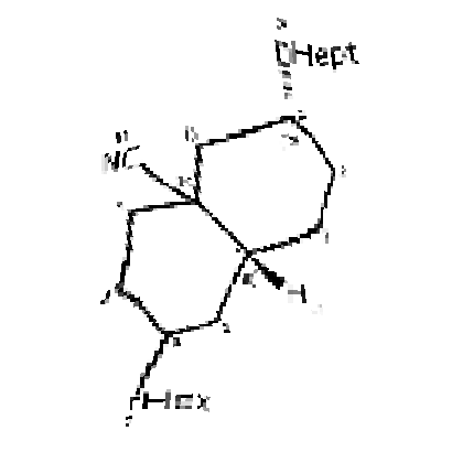 CCCCCCC[C@@H]1CC[C@@H]2CC(CCCCCC)CCC2(C#N)C1